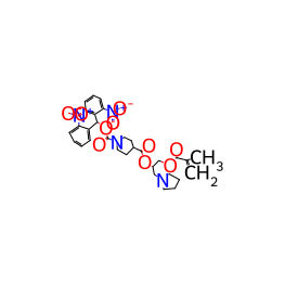 C=C(C)C(=O)OCC(CN1CCCC1)OC(=O)C1CCN(C(=O)OC(c2ccccc2[N+](=O)[O-])c2ccccc2[N+](=O)[O-])CC1